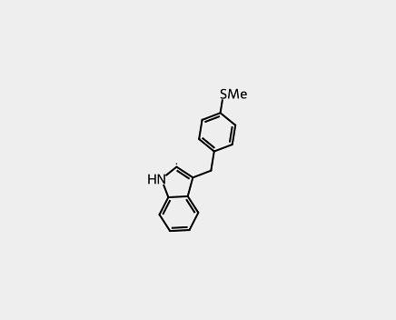 CSc1ccc(Cc2[c][nH]c3ccccc23)cc1